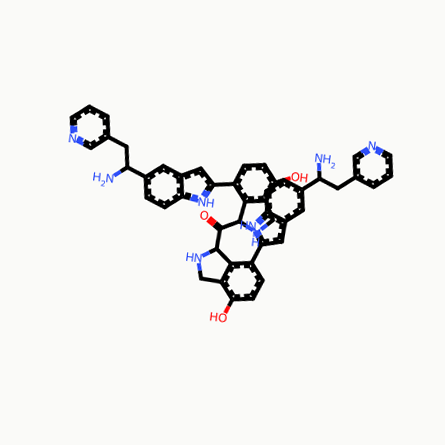 NC(Cc1cccnc1)c1ccc2[nH]c(-c3ccc(O)c4c3C(C(=O)C3NCc5c(O)ccc(-c6cc7cc(C(N)Cc8cccnc8)ccc7[nH]6)c53)NC4)cc2c1